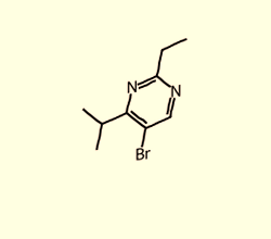 CCc1ncc(Br)c(C(C)C)n1